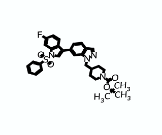 CC(C)(C)OC(=O)N1CCC(Cn2ncc3ccc(-c4cn(S(=O)(=O)c5ccccc5)c5cc(F)ccc45)cc32)CC1